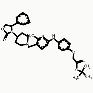 Cc1nc(Nc2ccc(OCC(=O)OC(C)(C)C)cc2)ccc1CN1CCC(N2C(=O)OCC2c2ccccc2)CC1